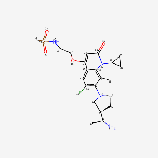 Cc1c(N2CC[C@@H]([C@H](C)N)C2)c(F)cc2c(OCCNS(C)(=O)=O)cc(=O)n(C3CC3)c12